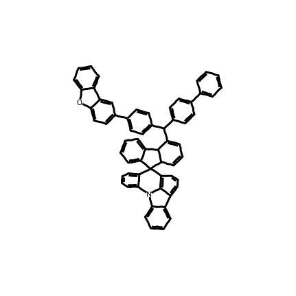 C1=CC2C(C(C(c3ccc(-c4ccccc4)cc3)c3ccc(-c4ccc5oc6ccccc6c5c4)cc3)=C1)c1ccccc1C21c2ccccc2-n2c3ccccc3c3cccc1c32